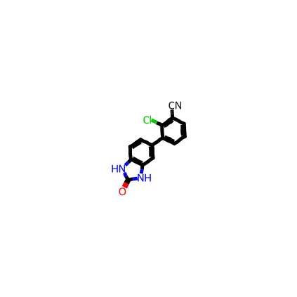 N#Cc1cccc(-c2ccc3[nH]c(=O)[nH]c3c2)c1Cl